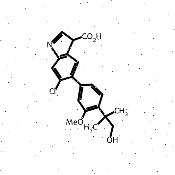 COc1cc(-c2cc3c(cc2Cl)N=CC3C(=O)O)ccc1C(C)(C)CO